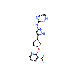 CC(C)c1cccnc1O[C@H]1CC[C@@H](c2cc(Nc3cnccn3)n[nH]2)C1